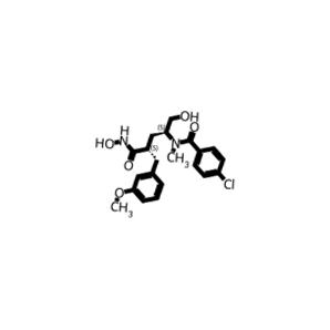 COc1cccc(C[C@@H](C[C@@H](CO)N(C)C(=O)c2ccc(Cl)cc2)C(=O)NO)c1